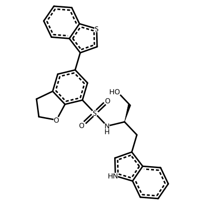 O=S(=O)(N[C@@H](CO)Cc1c[nH]c2ccccc12)c1cc(-c2csc3ccccc23)cc2c1OCC2